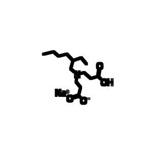 CCCCC(CC)CN(CCC(=O)[O-])CCC(=O)O.[Na+]